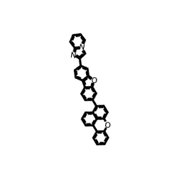 c1ccc2c(c1)Oc1ccc(-c3ccc4c(c3)oc3cc(-c5cn6ccccc6n5)ccc34)c3cccc-2c13